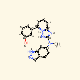 CN(c1ccc2cn[nH]c2c1)c1nc2cccc(-c3cccc(O)c3)n2n1